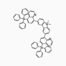 C[Si]1(C)c2ccc(-c3ccc([Si](c4ccccc4)(c4ccccc4)c4ccccc4)c4cccnc34)cc2-c2cc(-c3ccc([Si](c4ccccc4)(c4ccccc4)c4ccccc4)c4cccnc34)ccc21